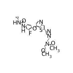 COCCN(CCn1cnc(-c2cc3nccc(Oc4ccc(NC(=O)NC5CC5)cc4F)c3s2)c1)C(C)=O